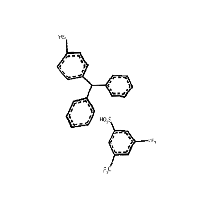 O=S(=O)(O)c1cc(C(F)(F)F)cc(C(F)(F)F)c1.Sc1ccc(C(c2ccccc2)c2ccccc2)cc1